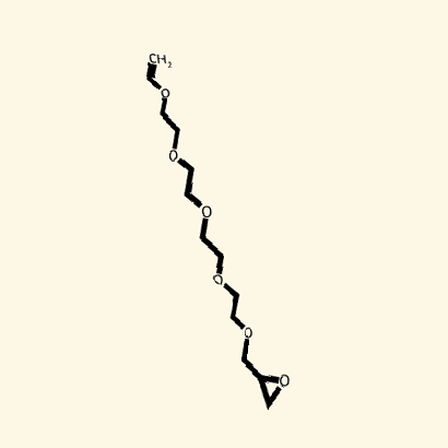 C=COCCOCCOCCOCCOCC1CO1